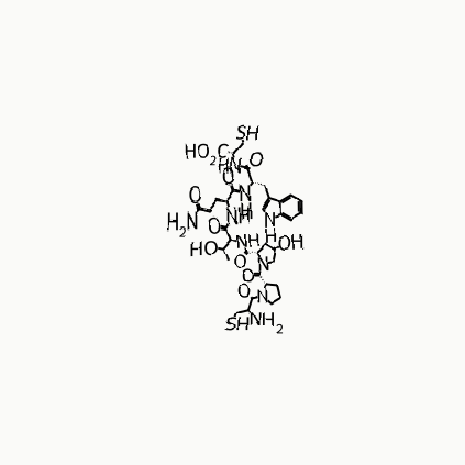 C[C@@H](O)[C@H](NC(=O)[C@@H]1C[C@@H](O)CN1C(=O)[C@@H]1CCCN1C(=O)[C@@H](N)CS)C(=O)N[C@@H](CCC(N)=O)C(=O)N[C@@H](Cc1c[nH]c2ccccc12)C(=O)N[C@@H](CS)C(=O)O